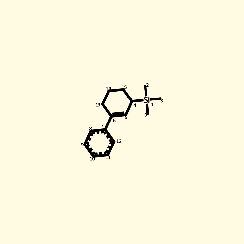 C[Si](C)(C)C1C=C(c2ccccc2)CCC1